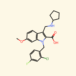 COc1ccc2c(CNC3CCCC3)c(C(=O)O)n(Cc3ccc(F)cc3Cl)c2c1